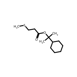 CSCCC(=O)OC(C)(C)C1CCCCC1